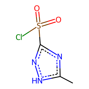 Cc1nc(S(=O)(=O)Cl)n[nH]1